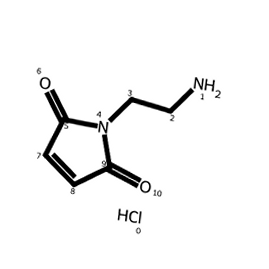 Cl.NCCN1C(=O)C=CC1=O